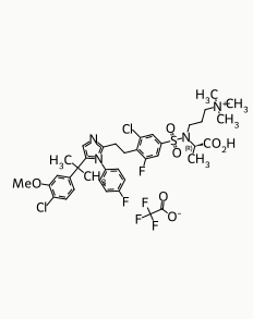 COc1cc(C(C)(C)c2cnc(CCc3c(F)cc(S(=O)(=O)N(CCC[N+](C)(C)C)[C@H](C)C(=O)O)cc3Cl)n2-c2ccc(F)cc2)ccc1Cl.O=C([O-])C(F)(F)F